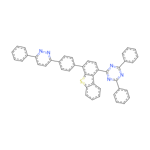 c1ccc(-c2ccc(-c3ccc(-c4ccc(-c5nc(-c6ccccc6)nc(-c6ccccc6)n5)c5c4sc4ccccc45)cc3)nn2)cc1